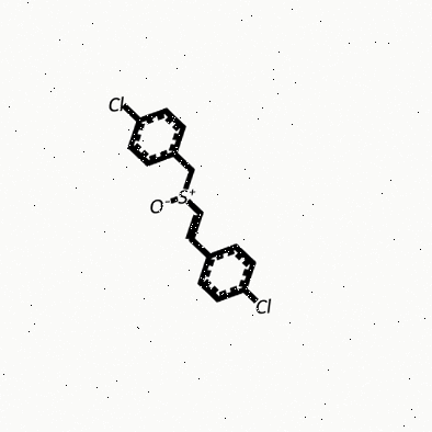 [O-][S+](C=Cc1ccc(Cl)cc1)Cc1ccc(Cl)cc1